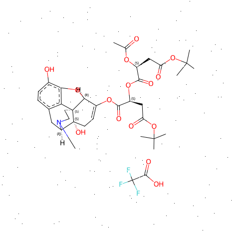 CC(=O)O[C@@H](CC(=O)OC(C)(C)C)C(=O)O[C@@H](CC(=O)OC(C)(C)C)C(=O)OC1=CC[C@@]2(O)[C@H]3Cc4ccc(O)c5c4[C@@]2(CCN3C)[C@H]1O5.O=C(O)C(F)(F)F